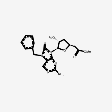 COC(=O)C[C@@H]1C[C@@H](OC(C)=O)[C@H](n2c(=O)n(Cc3ccccc3)c3cnc(N)nc32)O1